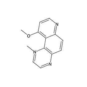 COc1ccnc2ccc3ncc[n+](C)c3c12